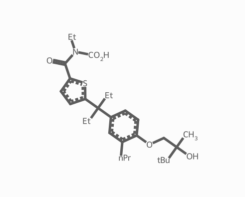 CCCc1cc(C(CC)(CC)c2ccc(C(=O)N(CC)C(=O)O)s2)ccc1OCC(C)(O)C(C)(C)C